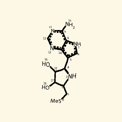 CSCC1NC(c2c[nH]c3c(N)ncnc23)C(O)C1O